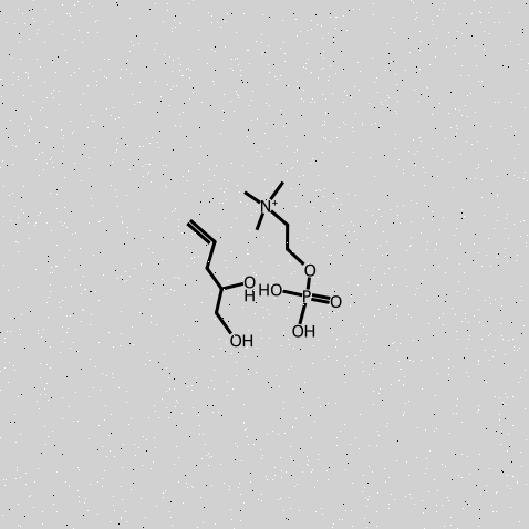 C=CCC(O)CO.C[N+](C)(C)CCOP(=O)(O)O